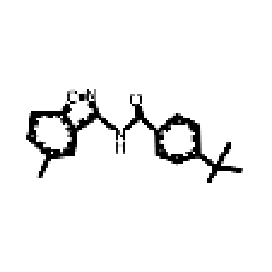 Cc1ccc2onc(NC(=O)c3ccc(C(C)(C)C)cc3)c2c1